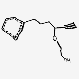 C#CC(CCCc1ccccc1)OCCO